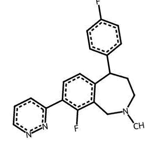 CN1CCC(c2ccc(F)cc2)c2ccc(-c3cccnn3)c(F)c2C1